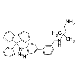 CC(C)(CCN)NCc1cccc(-c2ccc3c(c2)nnn3C(c2ccccc2)(c2ccccc2)c2ccccc2)c1